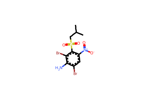 CC(C)CS(=O)(=O)c1c([N+](=O)[O-])cc(Br)c(N)c1Br